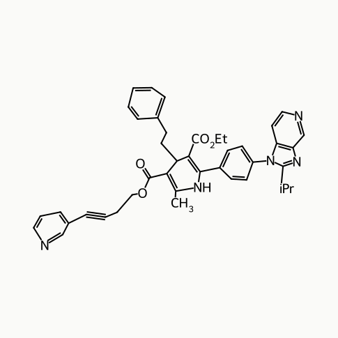 CCOC(=O)C1=C(c2ccc(-n3c(C(C)C)nc4cnccc43)cc2)NC(C)=C(C(=O)OCCC#Cc2cccnc2)C1CCc1ccccc1